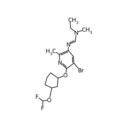 CCN(C)C=Nc1cc(Br)c(OC2CCCC(OC(F)F)C2)nc1C